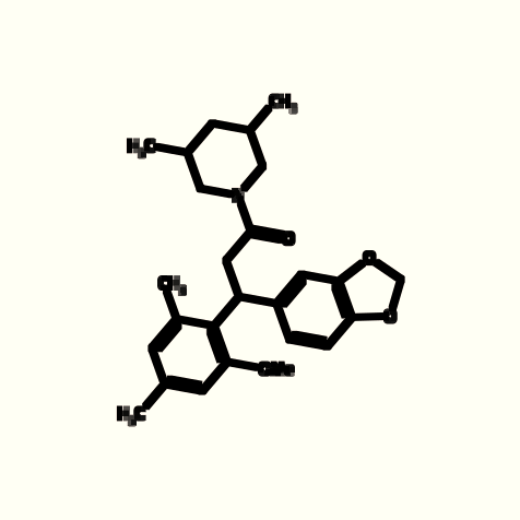 COc1cc(C)cc(C)c1C(CC(=O)N1CC(C)CC(C)C1)c1ccc2c(c1)OCO2